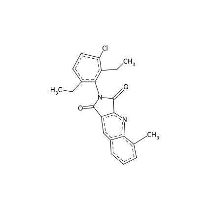 CCc1ccc(Cl)c(CC)c1N1C(=O)c2cc3cccc(C)c3nc2C1=O